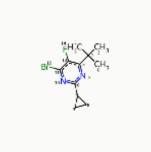 CC(C)(C)c1nc(C2CC2)nc(Br)c1F